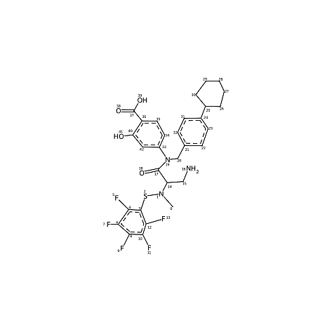 CN(Sc1c(F)c(F)c(F)c(F)c1F)C(CN)C(=O)N(Cc1ccc(C2CCCCC2)cc1)c1ccc(C(=O)O)c(O)c1